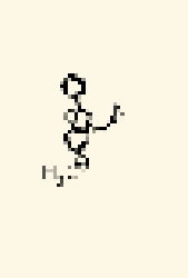 COc1ccc2c(c1)N(CC#N)CC(c1ccccc1)O2